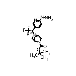 CC(C)(C)OC(=O)N1CC2CC1CN2[C@H](c1ccc(NN)nc1)C(F)(F)F